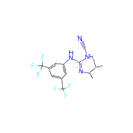 CC(C)C(C)/N=C(\NC#N)Nc1cc(C(F)(F)F)cc(C(F)(F)F)c1